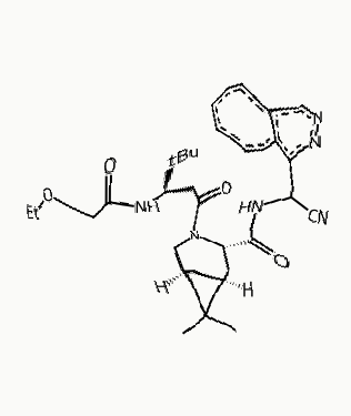 CCOCC(=O)N[C@H](C(=O)N1C[C@H]2[C@@H]([C@H]1C(=O)NC(C#N)c1nncc3ccccc13)C2(C)C)C(C)(C)C